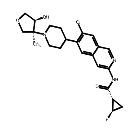 C[C@]1(N2CCC(c3cc4cc(NC(=O)[C@@H]5C[C@H]5F)ncc4cc3Cl)CC2)COC[C@H]1O